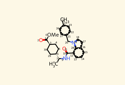 COC(=O)[C@H]1CC[C@H](C(C)NC(=O)c2cccc3ccn(Cc4ccc(C)cc4)c23)CC1